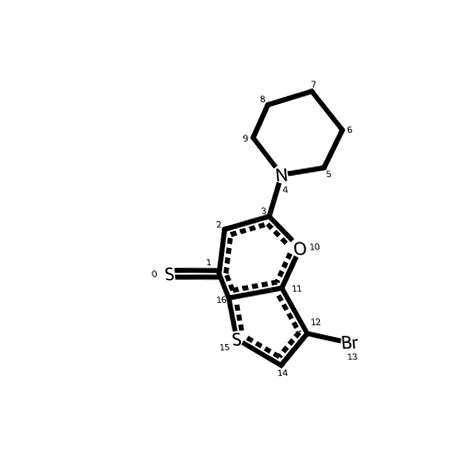 S=c1cc(N2CCCCC2)oc2c(Br)csc12